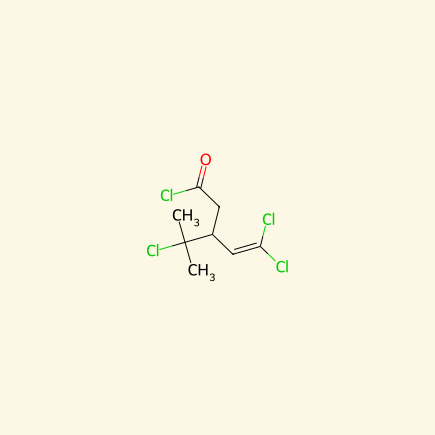 CC(C)(Cl)C(C=C(Cl)Cl)CC(=O)Cl